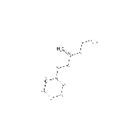 C=S(CCC)CCC1CCCCO1